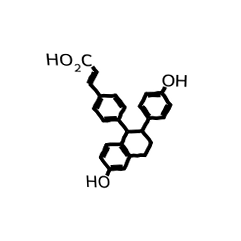 O=C(O)C=Cc1ccc(C2c3ccc(O)cc3CCC2c2ccc(O)cc2)cc1